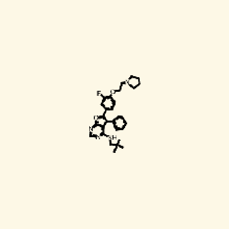 CC(C)(C)CNc1ncnc2oc(-c3ccc(OCCN4CCCC4)c(F)c3)c(-c3ccccc3)c12